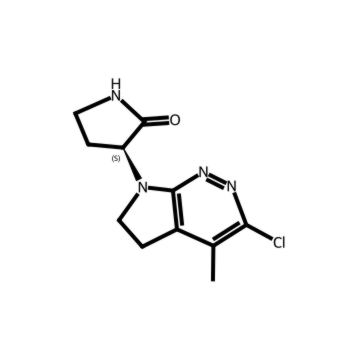 Cc1c(Cl)nnc2c1CCN2[C@H]1CCNC1=O